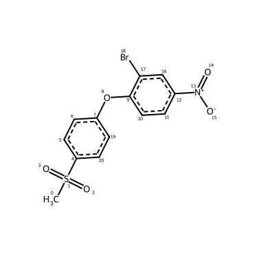 CS(=O)(=O)c1ccc(Oc2ccc([N+](=O)[O-])cc2Br)cc1